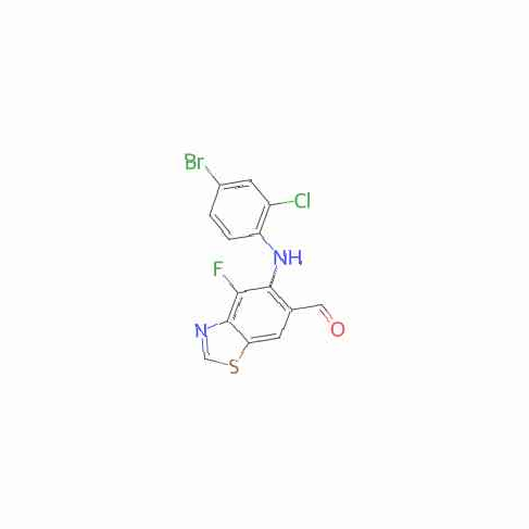 O=Cc1cc2scnc2c(F)c1Nc1ccc(Br)cc1Cl